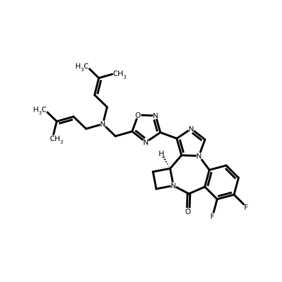 CC(C)=CCN(CC=C(C)C)Cc1nc(-c2ncn3c2[C@@H]2CCN2C(=O)c2c-3ccc(F)c2F)no1